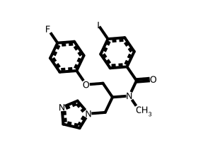 CN(C(=O)c1ccc(I)cc1)C(COc1ccc(F)cc1)Cn1ccnc1